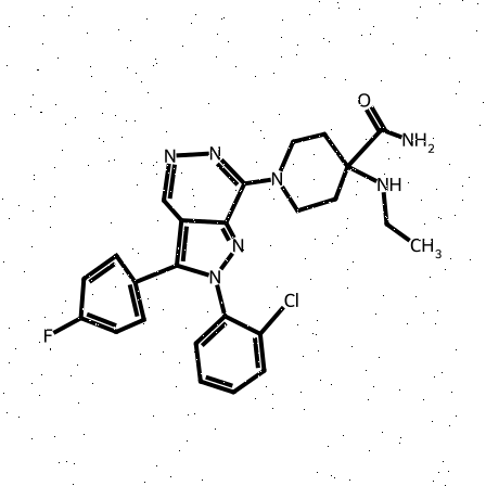 CCNC1(C(N)=O)CCN(c2nncc3c(-c4ccc(F)cc4)n(-c4ccccc4Cl)nc23)CC1